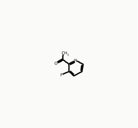 CC(=O)c1ncccc1F